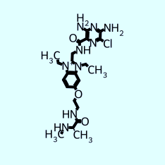 CCn1c(CNC(=O)c2nc(Cl)c(N)nc2N)[n+](CC)c2ccc(OCCNC(=O)[C@H](C)NC)cc21